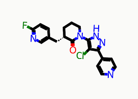 O=C1[C@H](Cc2ccc(F)nc2)CCCN1c1[nH]nc(-c2ccncc2)c1Cl